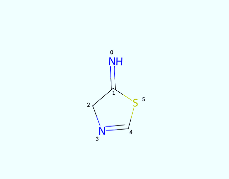 N=C1CN=CS1